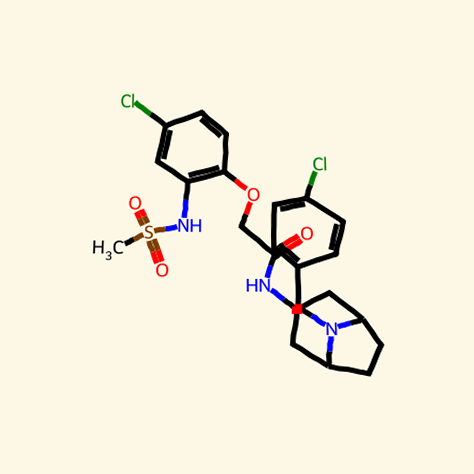 CS(=O)(=O)Nc1cc(Cl)ccc1OCC(=O)NC1CC2CCC(C1)N2Cc1ccc(Cl)cc1